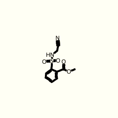 COC(=O)c1ccccc1S(=O)(=O)NCC#N